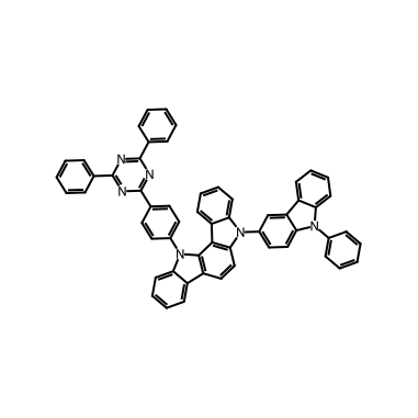 c1ccc(-c2nc(-c3ccccc3)nc(-c3ccc(-n4c5ccccc5c5ccc6c(c7ccccc7n6-c6ccc7c(c6)c6ccccc6n7-c6ccccc6)c54)cc3)n2)cc1